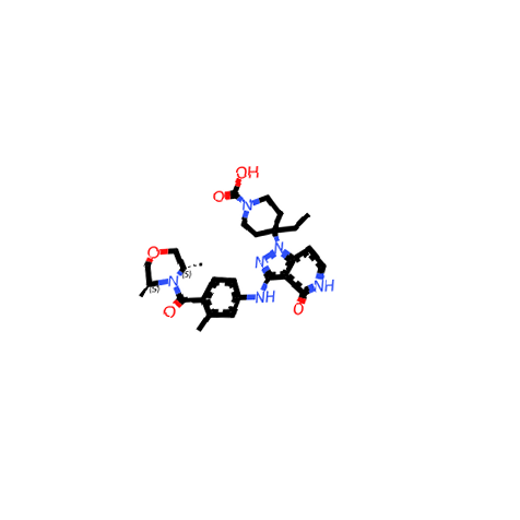 CCC1(n2nc(Nc3ccc(C(=O)N4[C@@H](C)COC[C@@H]4C)c(C)c3)c3c(=O)[nH]ccc32)CCN(C(=O)O)CC1